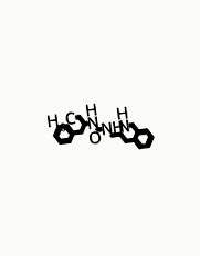 CCC(Cc1ccccc1)NC(=O)NCC1Cc2ccccc2CN1